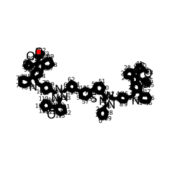 c1ccc(-c2nc(-c3ccc(-c4nc5ccccc5c5cc6c(cc45)-c4ccccc4C64c5ccccc5Oc5ccccc54)cc3)nc(-c3cccc4c3sc3ccc(-c5cccc(-c6nc(-c7ccc(-c8nc9ccccc9c9cc%10c(cc89)-c8ccccc8C%108c9ccccc9Oc9ccccc98)cc7)nc(-c7cccc8oc9ccccc9c78)n6)c5)cc34)n2)cc1